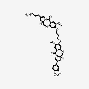 COc1cc2c(cc1OCCCOc1cc3c(cc1OC)C(=O)N1C=C(c4ccc5c(c4)OCO5)C[C@H]1C=N3)N=C[C@@H]1CC(/C=C/CN)=CN1C2=O